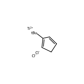 CC(C)(C)C1=CCC=C1.[Cl-].[Cl-].[Ti+2]